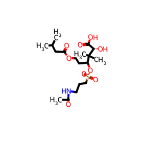 CC(=O)NCCCS(=O)(=O)OC(CCOC(=O)CC(C)C)C(C)(C)[C@@H](O)C(=O)O